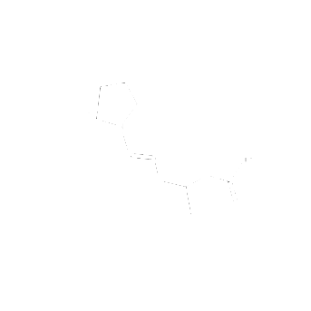 CC(ON=NN1CCC[C@H]1C(=O)O)OC(=O)C(C)C